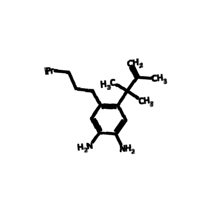 C=C(C)C(C)(C)c1cc(N)c(N)cc1CCCC(C)C